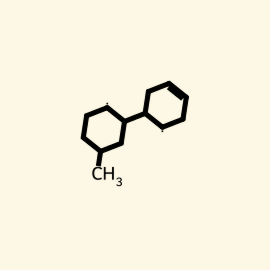 CC1CC[CH]C(C2[CH]CC=CC2)C1